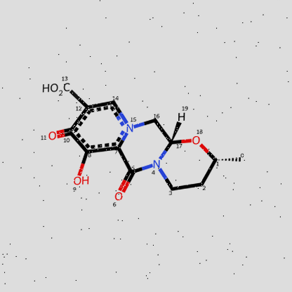 C[C@@H]1CCN2C(=O)c3c(O)c(=O)c(C(=O)O)cn3C[C@@H]2O1